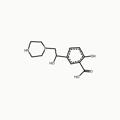 O=C(O)c1cc(C(O)CN2CCNCC2)ccc1O